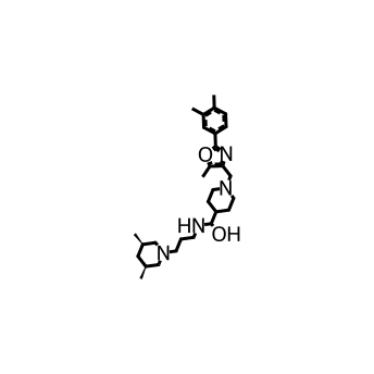 Cc1ccc(-c2nc(CN3CCC(C(O)NCCCN4C[C@H](C)C[C@H](C)C4)CC3)c(C)o2)cc1C